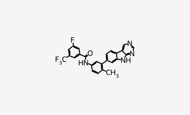 Cc1ccc(NC(=O)c2cc(F)cc(C(F)(F)F)c2)cc1-c1ccc2c(c1)[nH]c1ncncc12